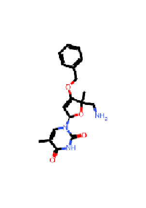 Cc1cn([C@H]2C=C(OCc3ccccc3)C(C)(CN)O2)c(=O)[nH]c1=O